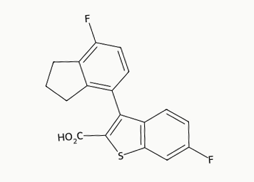 O=C(O)c1sc2cc(F)ccc2c1-c1ccc(F)c2c1CCC2